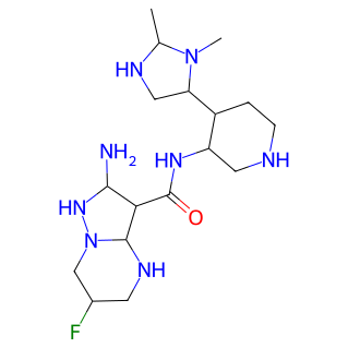 CC1NCC(C2CCNCC2NC(=O)C2C(N)NN3CC(F)CNC23)N1C